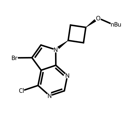 CCCCO[C@H]1C[C@@H](n2cc(Br)c3c(Cl)ncnc32)C1